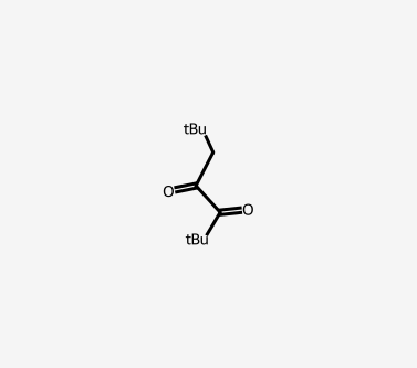 CC(C)(C)CC(=O)C(=O)C(C)(C)C